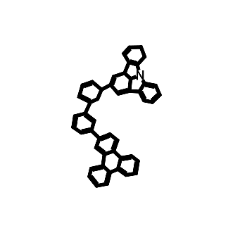 C1=CC(C2=CC3C4=C(CCC=C4)N4c5ccccc5C(=C2)C34)CC(c2cccc(-c3ccc4c5ccccc5c5ccccc5c4c3)c2)=C1